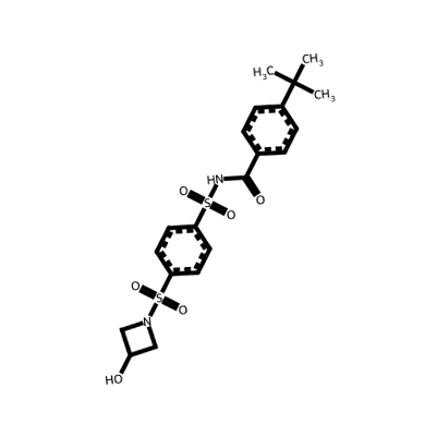 CC(C)(C)c1ccc(C(=O)NS(=O)(=O)c2ccc(S(=O)(=O)N3CC(O)C3)cc2)cc1